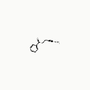 CC#CCCC(=O)c1ccccc1